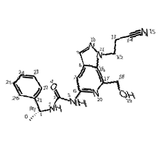 C[C@@H](NC(=O)Nc1cc2cnn(CCC#N)c2c(CO)n1)c1ccccc1